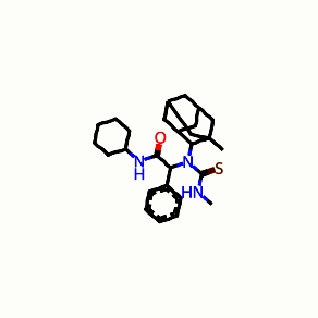 CNC(=S)N(C(C(=O)NC1CCCCC1)c1ccccc1)C1C2CC3CC(C2)CC1(C)C3